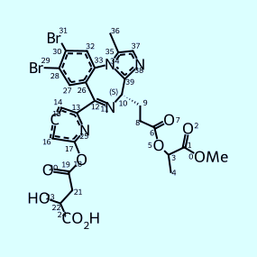 COC(=O)C(C)OC(=O)CC[C@@H]1N=C(c2cccc(OC(=O)CC(O)C(=O)O)n2)c2cc(Br)c(Br)cc2-n2c(C)cnc21